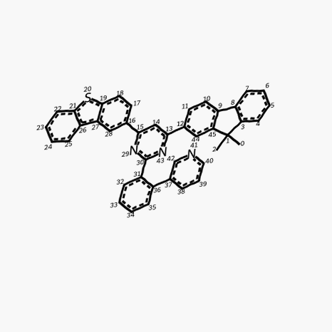 CC1(C)c2ccccc2-c2ccc(-c3cc(-c4ccc5sc6ccccc6c5c4)nc(-c4ccccc4-c4cccnc4)n3)cc21